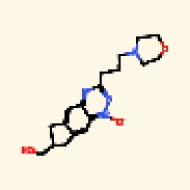 [O-][n+]1nc(CCCN2CCOCC2)nc2cc3c(cc21)CC(CO)C3